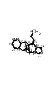 C=C/C=C\C1=C(C)C2c3cc4cscc4cc3C1c1ncccc12